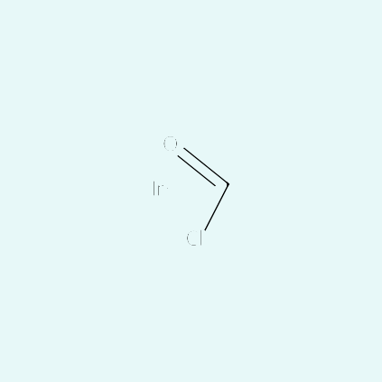 O=CCl.[Ir]